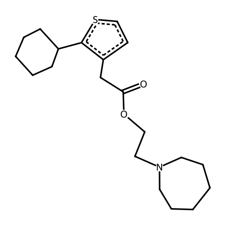 O=C(Cc1ccsc1C1CCCCC1)OCCN1CCCCCC1